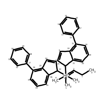 CC[CH]=[Hf]([CH3])([CH3])([CH3])([CH]1C=Cc2c(-c3ccccc3)cccc21)[CH]1C=Cc2c(-c3ccccc3)cccc21